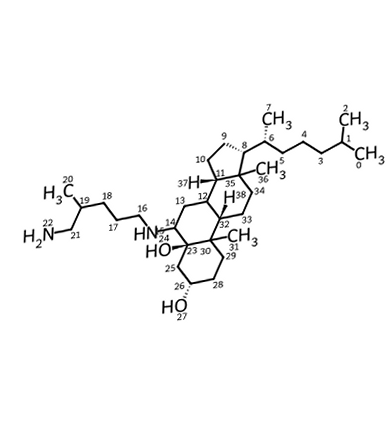 CC(C)CCC[C@@H](C)[C@H]1CC[C@H]2C3CC(NCCCC(C)CN)[C@@]4(O)C[C@@H](O)CCC4(C)[C@H]3CCC12C